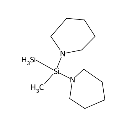 C[Si]([SiH3])(N1CCCCC1)N1CCCCC1